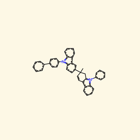 CC1(c2ccc3c(c2)c2ccccc2n3-c2ccc(-c3ccccc3)cc2)C=Cc2c(n(-c3ccccc3)c3ccccc23)C1